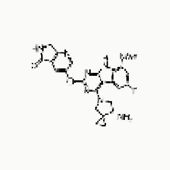 CNc1cc(F)cc2c1[nH]c1nc(Oc3cnc4c(c3)C(=O)NC4)nc(N3C[C@H](N)C4(CC4)C3)c12